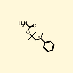 C[C@H](CC(C)(C)OC(N)=O)c1ccccc1